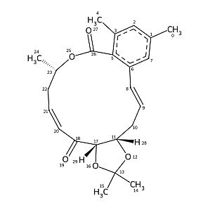 Cc1cc(C)c2c(c1)/C=C/C[C@@H]1OC(C)(C)O[C@@H]1C(=O)/C=C\C[C@H](C)OC2=O